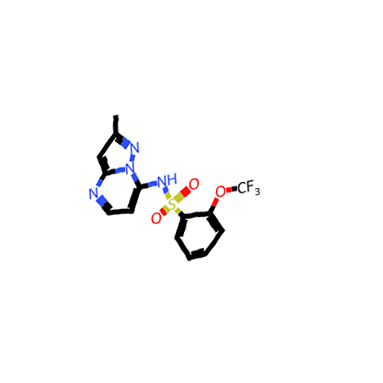 Cc1cc2nccc(NS(=O)(=O)c3ccccc3OC(F)(F)F)n2n1